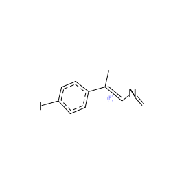 C=N/C=C(\C)c1ccc(I)cc1